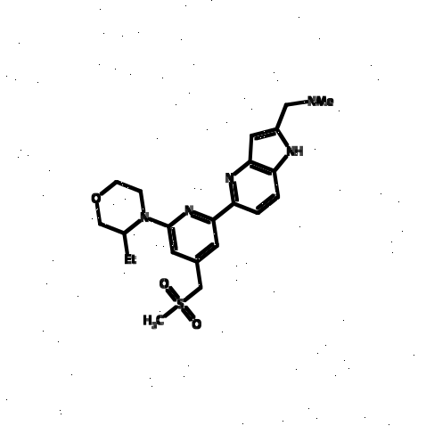 CCC1COCCN1c1cc(CS(C)(=O)=O)cc(-c2ccc3[nH]c(CNC)cc3n2)n1